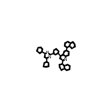 c1ccc(-c2cc(-c3ccccc3)nc(-c3cccc(-c4cc(-c5cccc6ccccc56)nc5ccc(-c6cccc7ccccc67)cc45)c3)n2)cc1